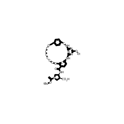 C=C(OC(C)(C)C)N1C[C@H](C(=O)O)[C@H](NC(=O)c2ccc3cc2OCCCCCCOc2ccc(cc2)CNc2nc(nc(OCC)n2)N3)C1